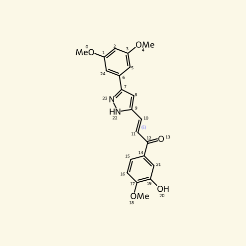 COc1cc(OC)cc(-c2cc(/C=C/C(=O)c3ccc(OC)c(O)c3)[nH]n2)c1